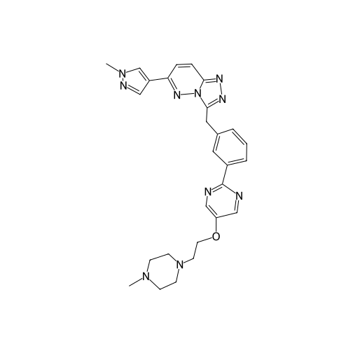 CN1CCN(CCOc2cnc(-c3cccc(Cc4nnc5ccc(-c6cnn(C)c6)nn45)c3)nc2)CC1